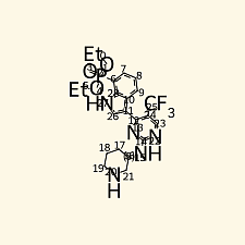 CCOP(=O)(OCC)c1cccc2c(-c3nc(N[C@H]4CCCNC4)ncc3C(F)(F)F)c[nH]c12